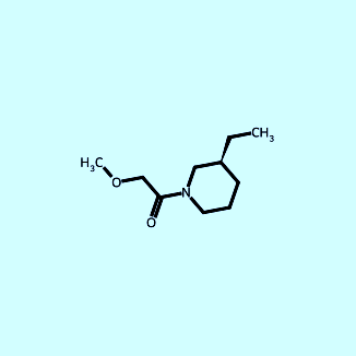 CC[C@H]1CCCN(C(=O)COC)C1